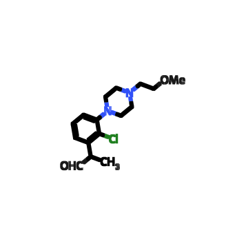 COCCN1CCN(c2cccc(C(C)C=O)c2Cl)CC1